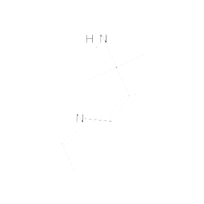 C/C=N\C=C/C(C)(C)N